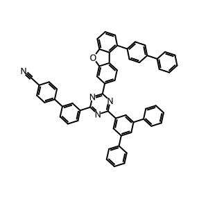 N#Cc1ccc(-c2cccc(-c3nc(-c4cc(-c5ccccc5)cc(-c5ccccc5)c4)nc(-c4ccc5c(c4)oc4cccc(-c6ccc(-c7ccccc7)cc6)c45)n3)c2)cc1